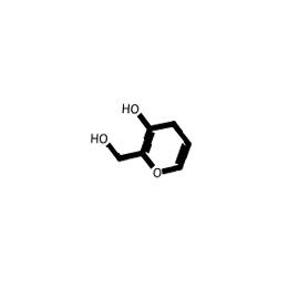 OCC1=C(O)CC=CO1